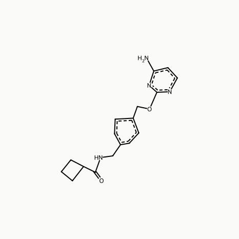 Nc1ccnc(OCc2ccc(CNC(=O)C3CCC3)cc2)n1